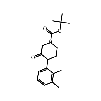 Cc1cccc(C2CCN(C(=O)OC(C)(C)C)CC2=O)c1C